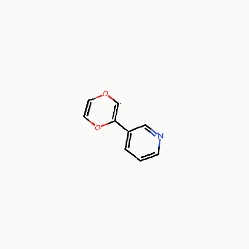 [C]1=C(c2cccnc2)OC=CO1